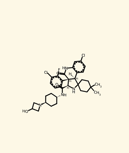 CC1(C)CCC2(CC1)N[C@@H](C(=O)N[C@H]1CC[C@H](N3CC(O)C3)CC1)[C@]1(c3cccc(Cl)c3F)C(=O)Nc3cc(Cl)ccc3[C@@H]21